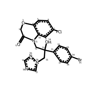 O=C1COc2ccc(Cl)cc2N1CC(O)(Cn1cncn1)c1ccc(Br)cc1